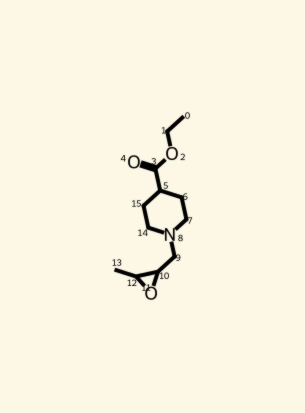 CCOC(=O)C1CCN(CC2OC2C)CC1